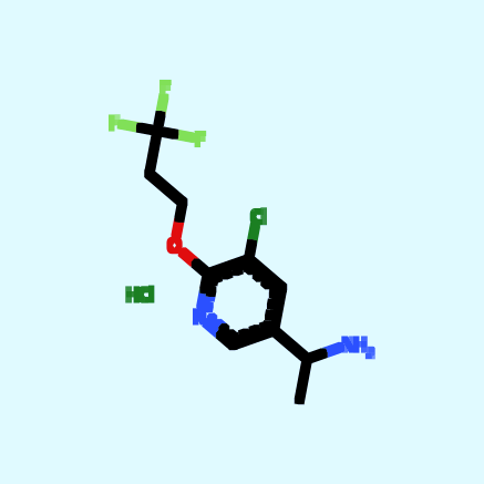 CC(N)c1cnc(OCCC(F)(F)F)c(Cl)c1.Cl